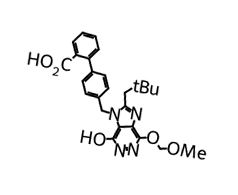 COCOc1nnc(O)c2c1nc(CC(C)(C)C)n2Cc1ccc(-c2ccccc2C(=O)O)cc1